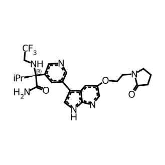 CC(C)[C@](NCC(F)(F)F)(C(N)=O)c1cncc(-c2c[nH]c3ncc(OCCN4CCCC4=O)cc23)c1